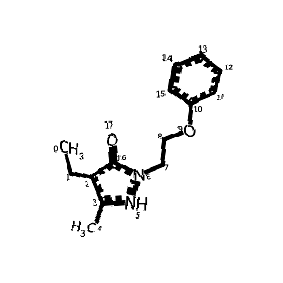 CCc1c(C)[nH]n(CCOc2ccccc2)c1=O